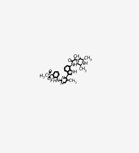 Cc1cnc(Nc2cccc(S(C)(=O)=O)c2F)nc1-c1c[nH]c2c(NC(=O)C(C)N3C[C@H](C)N[C@@H](C)C3)cccc12